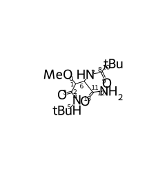 COC(C(=O)NC(C)(C)C)C(NC(=O)C(C)(C)C)C(N)=O